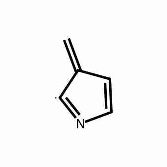 C=C1[C]=NC=C1